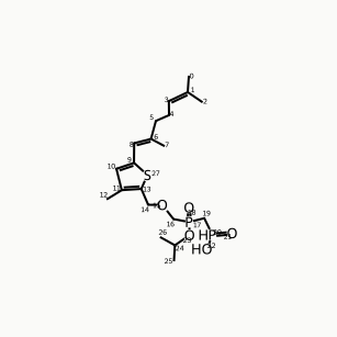 CC(C)=CCC/C(C)=C/c1cc(C)c(COCP(=O)(C[PH](=O)O)OC(C)C)s1